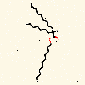 CCCCCCCCCCCOC(=O)C(C)(CCCCCCC)CCCCCCCCC